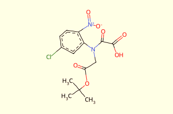 CC(C)(C)OC(=O)CN(C(=O)C(=O)O)c1cc(Cl)ccc1[N+](=O)[O-]